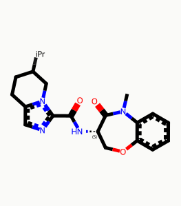 CC(C)C1CCc2cnc(C(=O)N[C@H]3COc4ccccc4N(C)C3=O)n2C1